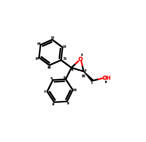 OC[C@@H]1OC1(c1ccccc1)c1ccccc1